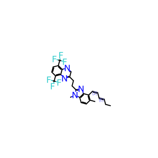 CC/C=C/C=C\c1c(C)ccc2c1nc(CCc1cnc3c(C(F)(F)F)ccc(C(F)(F)F)c3n1)n2C